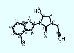 C#CCN1CC(O)N(c2nc3cccc(Br)c3s2)C1=O